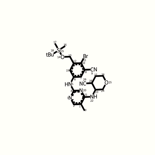 Cc1cnc(Nc2cc(C#N)c(Br)c(CO[Si](C)(C)C(C)(C)C)c2)nc1NC1COCCC1C#N